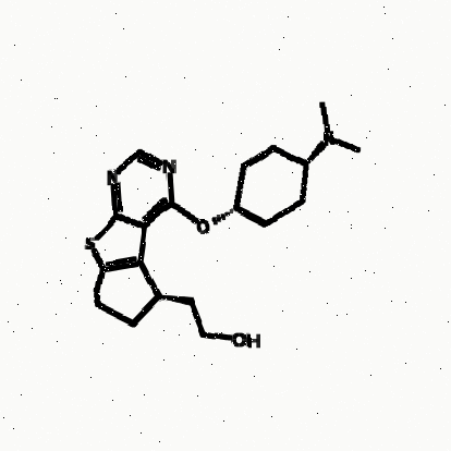 CN(C)[C@H]1CC[C@H](Oc2ncnc3sc4c(c23)[C@@H](CCO)CC4)CC1